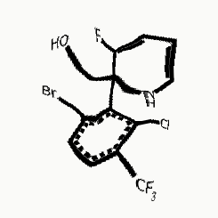 OCC1(c2c(Br)ccc(C(F)(F)F)c2Cl)NC=CC=C1F